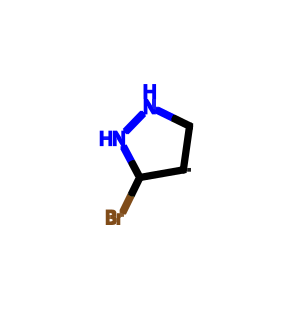 BrC1[CH]CNN1